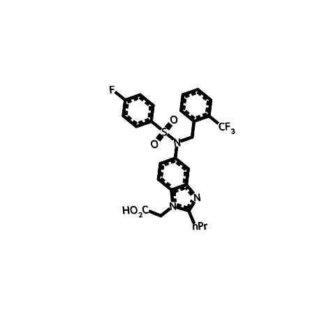 CCCc1nc2cc(N(Cc3ccccc3C(F)(F)F)S(=O)(=O)c3ccc(F)cc3)ccc2n1CC(=O)O